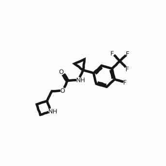 O=C(NC1(c2ccc(F)c(C(F)(F)F)c2)CC1)OCC1CCN1